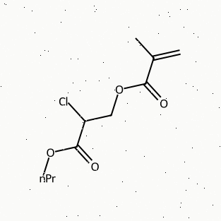 C=C(C)C(=O)OCC(Cl)C(=O)OCCC